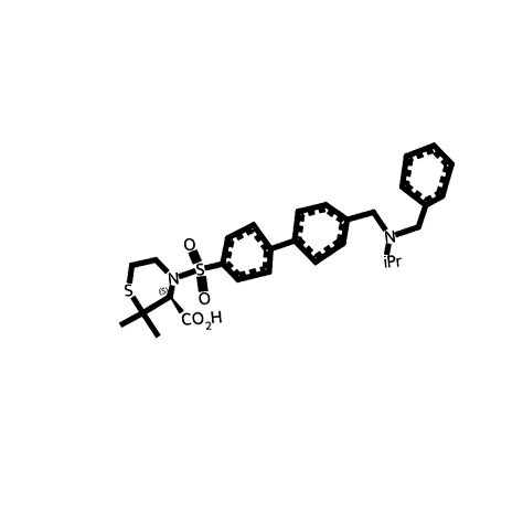 CC(C)N(Cc1ccccc1)Cc1ccc(-c2ccc(S(=O)(=O)N3CCSC(C)(C)[C@@H]3C(=O)O)cc2)cc1